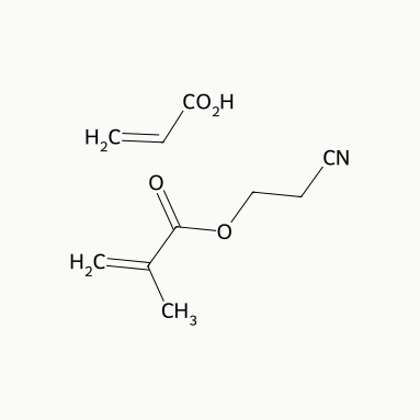 C=C(C)C(=O)OCCC#N.C=CC(=O)O